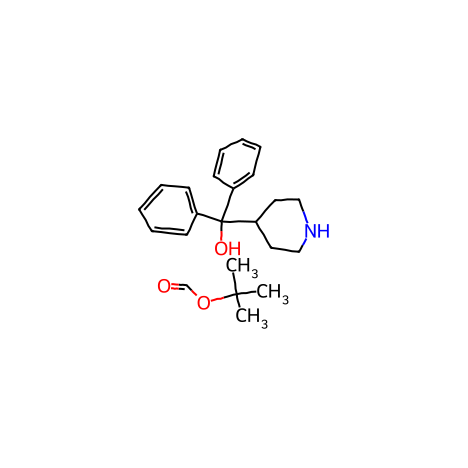 CC(C)(C)OC=O.OC(c1ccccc1)(c1ccccc1)C1CCNCC1